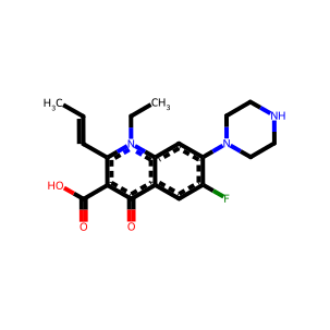 CC=Cc1c(C(=O)O)c(=O)c2cc(F)c(N3CCNCC3)cc2n1CC